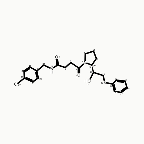 O=C(CCC(=O)N1CCC[C@H]1C(O)CSc1ccccc1)NCc1ccc(Cl)cc1